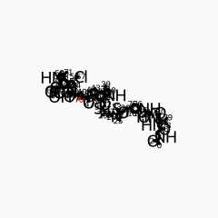 CC(=O)NCC(=O)NC(C(=O)NCC(=O)Nc1ccc(COC(=S)N(C)CCN(C)C(=S)Oc2cc3c(c4c(C)c[nH]c24)CCN3C(=O)C23CC(C(=O)N4C[C@@H](CCl)c5c4cc(OP(=O)(O)O)c4[nH]cc(C)c54)(C2)C3)cc1)C(C)C